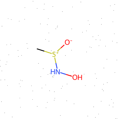 C[S+]([O-])NO